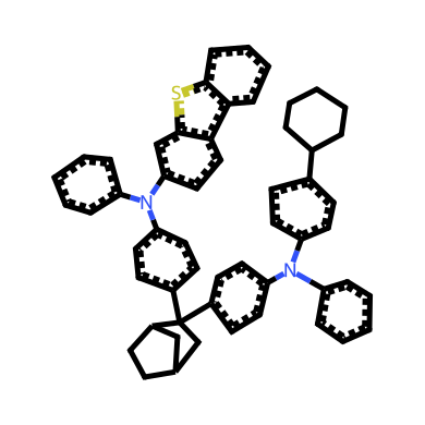 c1ccc(N(c2ccc(C3CCCCC3)cc2)c2ccc(C3(c4ccc(N(c5ccccc5)c5ccc6c(c5)sc5ccccc56)cc4)CC4CCC3C4)cc2)cc1